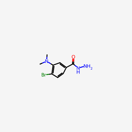 CN(C)c1cc(C(=O)NN)ccc1Br